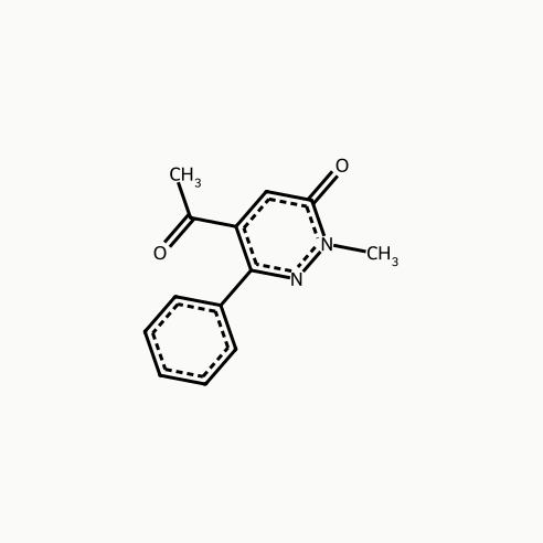 CC(=O)c1cc(=O)n(C)nc1-c1ccccc1